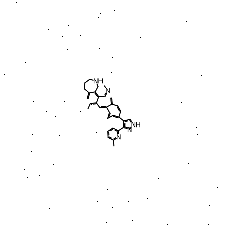 C=C1\C=C/C(c2c[nH]nc2-c2cccc(C)n2)=C/C=C/C1=C/C(=C\C)C(/C=N\C)=C1/CNCCCC1=C